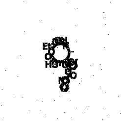 CC[C@H]1OC(=O)[C@H](C)[C@@H](O)[C@H](C)[C@@H](O[C@@H]2O[C@H](C)CC[C@H]2OC(=O)c2cnc3ccccc3c2)[C@](C)(O)C[C@@H](C)CN(C)[C@H](C)[C@@H](O)[C@]1(C)O